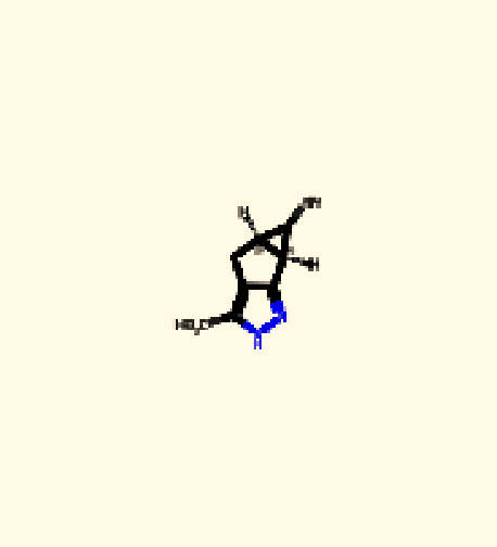 CCCC1[C@H]2c3n[nH]c(C(=O)O)c3C[C@@H]12